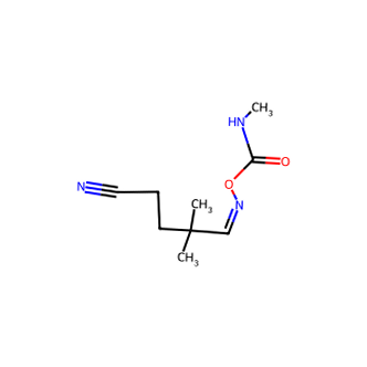 CNC(=O)O/N=C\C(C)(C)CCC#N